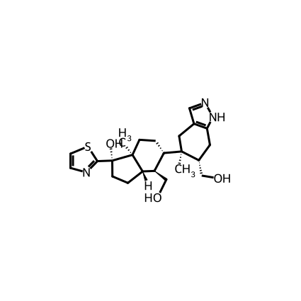 C[C@]1([C@H]2CC[C@@]3(C)[C@@H](CC[C@@]3(O)c3nccs3)[C@@H]2CO)Cc2cn[nH]c2C[C@@H]1CO